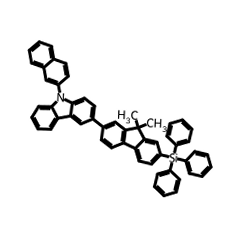 CC1(C)c2cc(-c3ccc4c(c3)c3ccccc3n4-c3ccc4ccccc4c3)ccc2-c2ccc([Si](c3ccccc3)(c3ccccc3)c3ccccc3)cc21